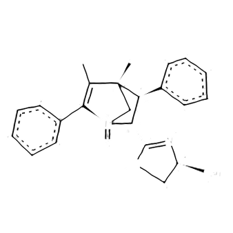 CC1=C(c2ccccc2)[P@@]2(=S)C[C@@]1(C)[C@@H](c1ccccc1)[C@@H]2C1=N[C@@H](C(C)(C)C)CO1